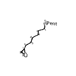 CCCCCCCCCC[CH]C1CO1